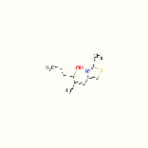 C=CCC(O)C(C)=Cc1csc(C)n1